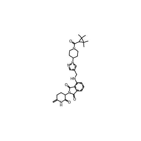 C=C1CCC(N2C(=O)c3cccc(NCc4cnn(C5CCN(C(=O)C6C(C)(C)C6(C)C)CC5)c4)c3C2=O)C(=O)N1